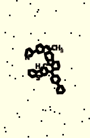 C/C(=C/c1ccc(-c2cccnc2)cc1)c1ccc2c(c1)-c1cccc(C(c3ccc(-c4ccccc4)cc3)c3ccc4c(c3)sc3ccccc34)c1[C@@H]2C